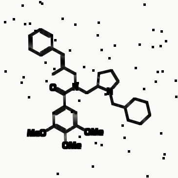 COc1cc(C(=O)N(C/C(C)=C/c2ccccc2)CC2CCCN2CC2CCCCC2)cc(OC)c1OC